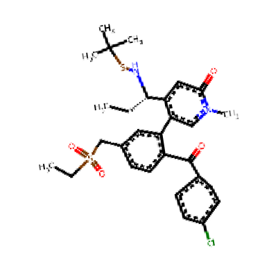 CC[C@H](NSC(C)(C)C)c1cc(=O)n(C)cc1-c1cc(CS(=O)(=O)CC)ccc1C(=O)c1ccc(Cl)cc1